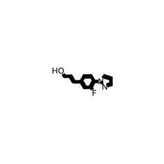 OCC=Cc1ccc(-n2cccn2)c(F)c1